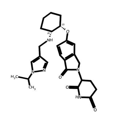 CC(C)n1cc(CN[C@@H]2CCCC[C@@H]2Oc2ccc3c(c2)CN(C2CCC(=O)NC2=O)C3=O)cn1